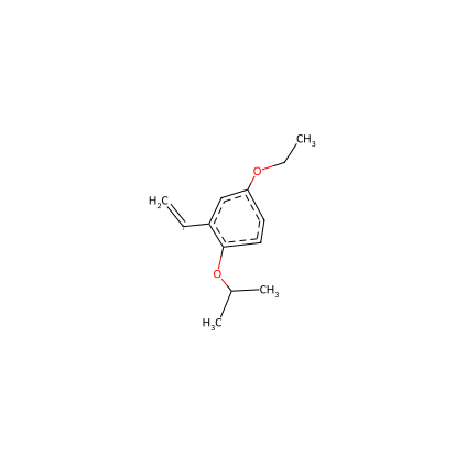 C=[C]c1cc(OCC)ccc1OC(C)C